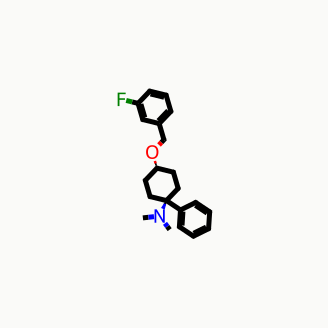 CN(C)[C@]1(c2ccccc2)CC[C@@H](OCc2cccc(F)c2)CC1